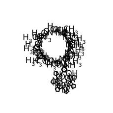 CC[C@@H]1NC(=O)[C@H]([C@H](O)[C@H](C)Cc2nc3cc(C(=O)N4CCCC4C(=O)N4CCC[C@H]4C(=O)N4CCCC4C(=O)N4CCC[C@H]4C(=O)N4CCCC4C(=O)N4CCC[C@H]4C(=O)O)ccc3[nH]2)N(C)C(=O)[C@H](C(C)C)N(C)C(=O)[C@H](CC(C)C)N(C)C(=O)[C@H](CC(C)C)N(C)C(=O)[C@@H](C)NC(=O)[C@H](C)NC(=O)[C@H](CC(C)C)N(C)C(=O)[C@H](C(C)C)NC(=O)[C@H](CC(C)C)N(C)C(=O)CN(C)C1=O